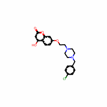 O=c1cc(O)c2ccc(OCCN3CCN(Cc4ccc(Cl)cc4)CC3)cc2o1